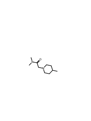 CC1CCN(CC(=O)N(C)C)CC1